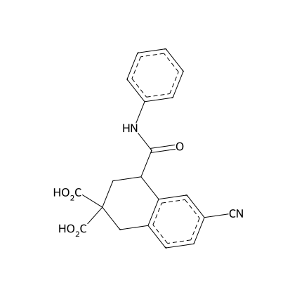 N#Cc1ccc2c(c1)C(C(=O)Nc1ccccc1)CC(C(=O)O)(C(=O)O)C2